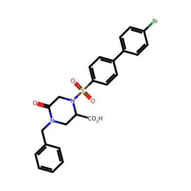 O=C(O)C1CN(Cc2ccccc2)C(=O)CN1S(=O)(=O)c1ccc(-c2ccc(Br)cc2)cc1